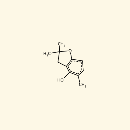 Cc1ccc2c(c1O)CC(C)(C)O2